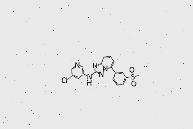 CS(=O)(=O)c1cccc(-c2cccc3nc(Nc4cncc(Cl)c4)nn23)c1